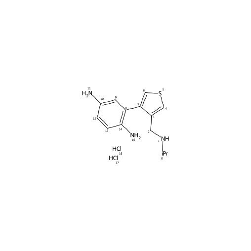 CC(C)NCc1cscc1-c1cc(N)ccc1N.Cl.Cl